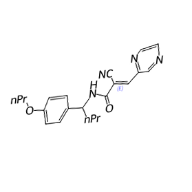 CCCOc1ccc(C(CCC)NC(=O)/C(C#N)=C/c2cnccn2)cc1